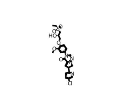 CCS(=O)(=O)C[C@@H](O)COc1ccc(N2C=NN3CC(c4ccc(Cl)cn4)C=C3C2=O)cc1OC